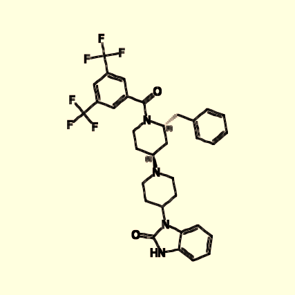 O=C(c1cc(C(F)(F)F)cc(C(F)(F)F)c1)N1CC[C@H](N2CCC(n3c(=O)[nH]c4ccccc43)CC2)C[C@H]1Cc1ccccc1